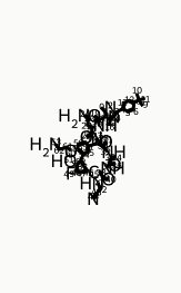 Cc1nc(-c2ccc(C(C)(C)C)cc2)nc(C)c1C(=O)NC(CCN)C(=O)N(C)C1C(=O)NC(C)C(=O)NC(C(=O)NCC#N)Cc2cc(F)c(O)c(c2)-c2cc1ccc2OCCN